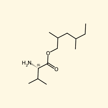 CCC(C)CC(C)COC(=O)[C@@H](N)C(C)C